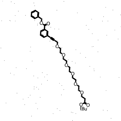 CC(C)(C)OC(=O)CCOCCOCCOCCOCCOCCOCC#Cc1cccc(C(=O)OCc2ccccc2)c1